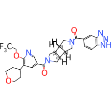 O=C(c1cnc(OCC(F)(F)F)c(C2CCOCC2)c1)N1C[C@@H]2[C@H](C1)[C@H]1CN(C(=O)c3ccc4[nH]nnc4c3)C[C@@H]21